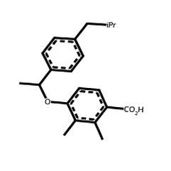 Cc1c(OC(C)c2ccc(CC(C)C)cc2)ccc(C(=O)O)c1C